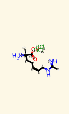 CC(=N)NC/C=C\CC[C@](C)(N)C(=O)O.Cl.Cl